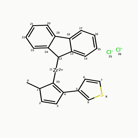 CC1C=CC(c2ccsc2)=[C]1[Zr+2][CH]1c2ccccc2-c2ccccc21.[Cl-].[Cl-]